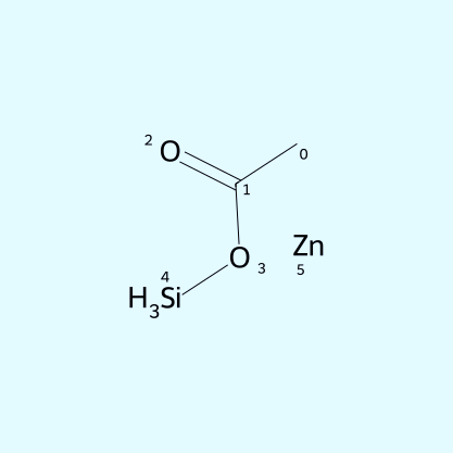 CC(=O)O[SiH3].[Zn]